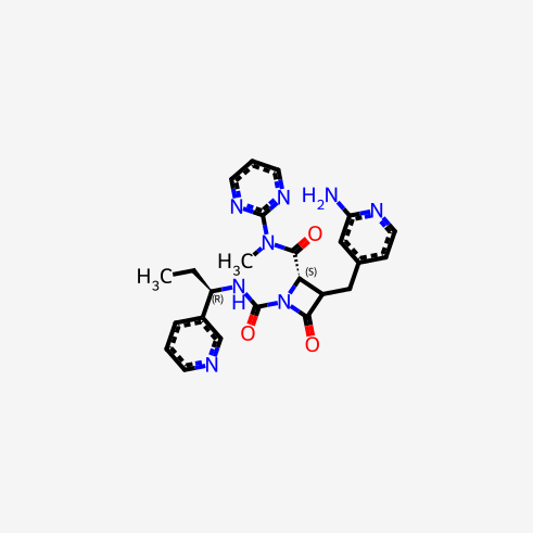 CC[C@@H](NC(=O)N1C(=O)C(Cc2ccnc(N)c2)[C@H]1C(=O)N(C)c1ncccn1)c1cccnc1